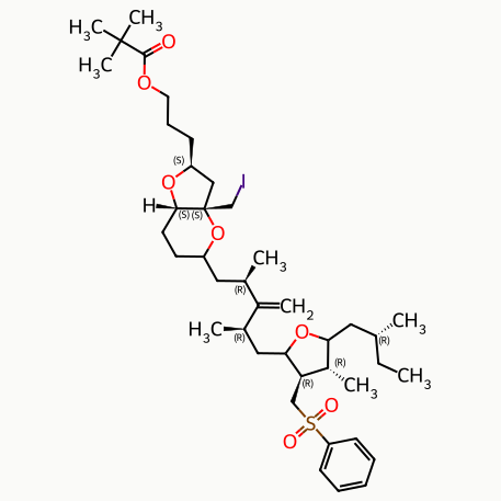 C=C([C@H](C)CC1CC[C@@H]2O[C@@H](CCCOC(=O)C(C)(C)C)C[C@]2(CI)O1)[C@H](C)CC1OC(C[C@H](C)CC)[C@H](C)[C@H]1CS(=O)(=O)c1ccccc1